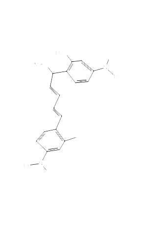 CCN(CC)c1ccc(/C=C/C=C/C(OC)c2ccc(N(CC)CC)cc2C)c(C)c1